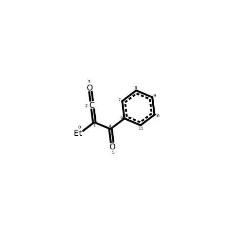 CCC(=C=O)C(=O)c1ccccc1